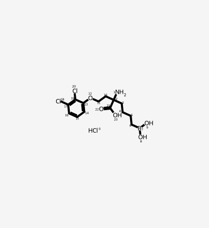 Cl.NC(CCCCB(O)O)(CCOc1cccc(Cl)c1Cl)C(=O)O